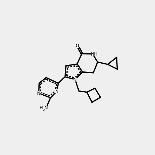 Nc1nccc(-c2cc3c(n2CC2CCC2)CC(C2CC2)NC3=O)n1